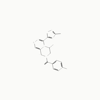 Cc1nsc(C2=NNC=C3[C@@H](C)N(C(=O)c4ccc(F)cc4)CC(C)N32)n1